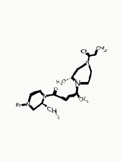 C=CC(=O)N1CCN(C(C)C/C=C\C(=O)N2CCN(C(C)C)C[C@@H]2C)[C@H](C)C1